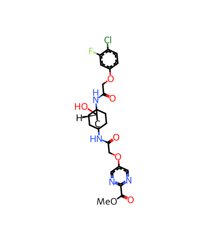 COC(=O)c1ncc(OCC(=O)NC23CCC(NC(=O)COc4ccc(Cl)c(F)c4)(CC2)[C@@H](O)C3)cn1